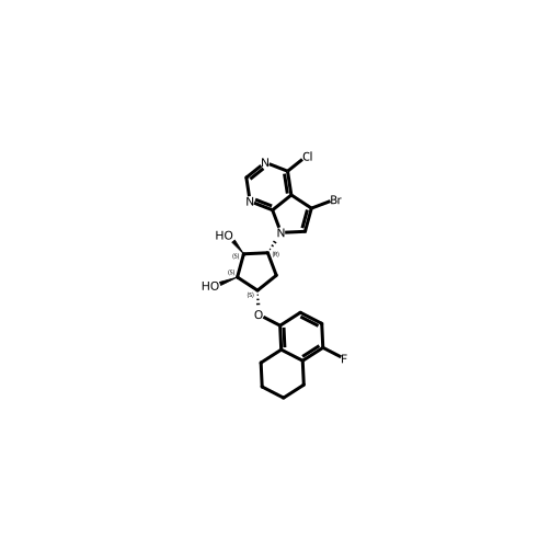 O[C@@H]1[C@H](O)[C@@H](Oc2ccc(F)c3c2CCCC3)C[C@H]1n1cc(Br)c2c(Cl)ncnc21